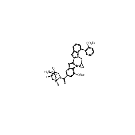 CCOC(=O)c1ccccc1-c1cccc2cc(-c3nc4cc(C(=O)N5C[C@H]6CC[C@@H]5C[C@@H]6N)cc(OC)c4n3C)n(CC3CC3)c12